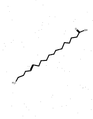 CCCCC=CCCCCCCCCCCCC(=O)O